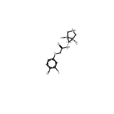 O=C(COc1ccc(Cl)c(F)c1)N[C@@H]1[C@@H]2CNC[C@@H]21